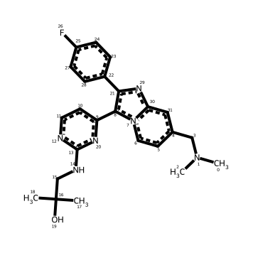 CN(C)Cc1ccn2c(-c3ccnc(NCC(C)(C)O)n3)c(-c3ccc(F)cc3)nc2c1